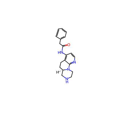 O=C(Cc1ccccc1)Nc1ccnc2c1CC[C@@H]1CNCCN21